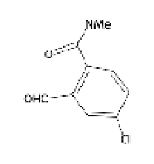 CNC(=O)c1ccc(Cl)cc1C=O